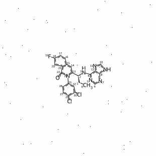 CC[C@H](Nc1ncnc2[nH]cnc12)c1cc2ccc(F)cc2c(=O)n1-c1ccc(Cl)c(Cl)c1